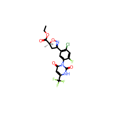 CCOC(=O)[C@]1(C)CC(c2cc(-n3c(=O)cc(C(F)(F)F)[nH]c3=O)c(F)cc2Cl)=NO1